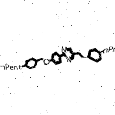 CCCCCC1CCC(COc2ccc(-c3ncc(CC[C@H]4CC[C@H](CCC)CC4)cn3)cc2)CC1